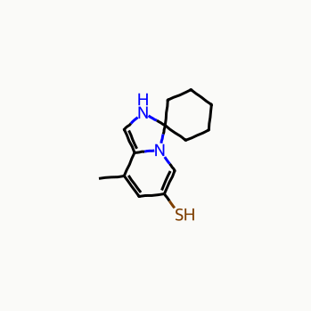 CC1=CC(S)=CN2C1=CNC21CCCCC1